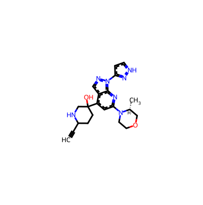 C#CC1CCC(O)(c2cc(N3CCOC[C@H]3C)nc3c2cnn3-c2cc[nH]n2)CN1